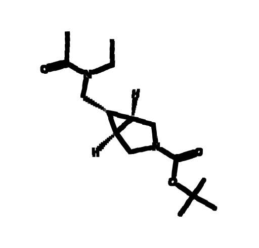 CCN(C[C@@H]1[C@H]2CN(C(=O)OC(C)(C)C)C[C@@H]12)C(C)=O